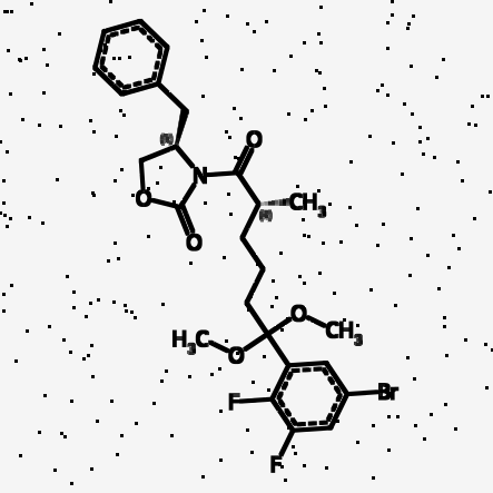 COC(CCC[C@@H](C)C(=O)N1C(=O)OC[C@H]1Cc1ccccc1)(OC)c1cc(Br)cc(F)c1F